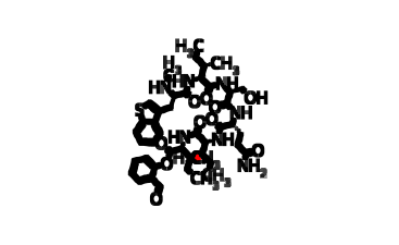 CC[C@H](C)[C@H](NC(=O)[C@@H](Cc1csc2ccccc12)NC)C(=O)N[C@@H](CO)C(=O)N[C@H](CCC(N)=O)C(=O)N[C@@H](C(=O)N[C@H](C(=O)Oc1ccccc1C=O)[C@@H](C)CC)[C@@H](C)CC